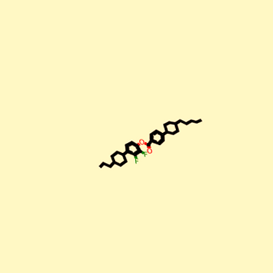 CCCCCC1CCC(c2ccc(C(=O)Oc3ccc(C4CCC(CCC)CC4)c(F)c3F)cc2)CC1